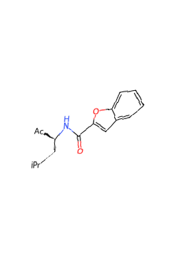 CC(=O)[C@H](CC(C)C)NC(=O)c1cc2ccccc2o1